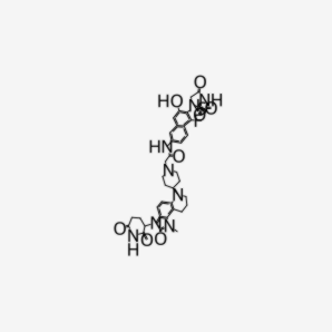 Cn1c(=O)n(C2CCC(=O)NC2=O)c2ccc3c(c21)CCCN3C1CCN(CC(=O)Nc2ccc3c(F)c(N4CC(=O)NS4(=O)=O)c(O)cc3c2)CC1